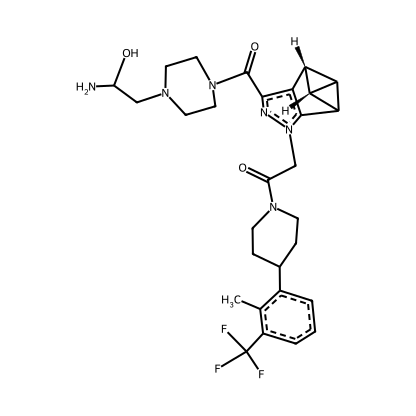 Cc1c(C2CCN(C(=O)Cn3nc(C(=O)N4CCN(CC(N)O)CC4)c4c3C3C5[C@H]3[C@H]45)CC2)cccc1C(F)(F)F